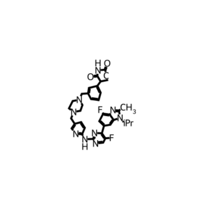 Cc1nc2c(F)cc(-c3nc(Nc4ccc(CN5CCN(Cc6cccc(C7CCC(=O)NC7=O)c6)CC5)cn4)ncc3F)cc2n1C(C)C